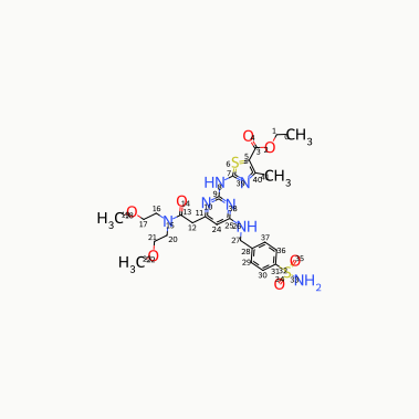 CCOC(=O)c1sc(Nc2nc(CC(=O)N(CCOC)CCOC)cc(NCc3ccc(S(N)(=O)=O)cc3)n2)nc1C